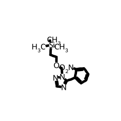 C[Si](C)(C)CCOCn1ncnc1-c1ccccc1[N+](=O)[O-]